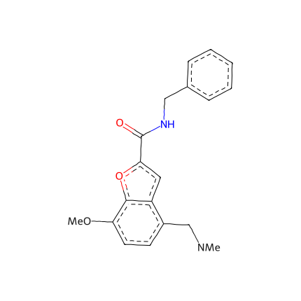 CNCc1ccc(OC)c2oc(C(=O)NCc3ccccc3)cc12